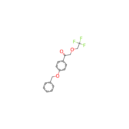 O=C(COCC(F)(F)F)c1ccc(OCc2ccccc2)cc1